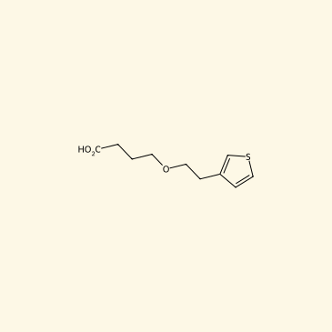 O=C(O)CCCOCCc1ccsc1